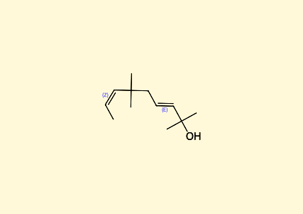 C/C=C\C(C)(C)C/C=C/C(C)(C)O